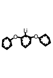 [Li][c]1c(Oc2ccccc2)cccc1Oc1ccccc1